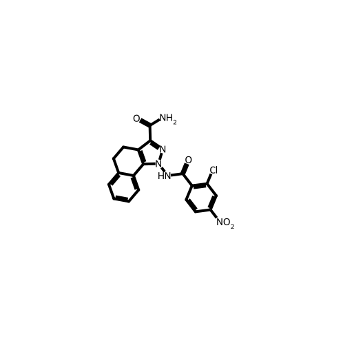 NC(=O)c1nn(NC(=O)c2ccc([N+](=O)[O-])cc2Cl)c2c1CCc1ccccc1-2